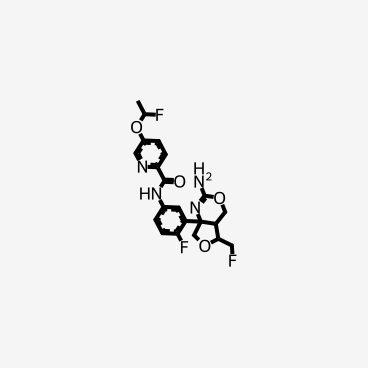 CC(F)Oc1ccc(C(=O)Nc2ccc(F)c(C34COC(CF)C3COC(N)=N4)c2)nc1